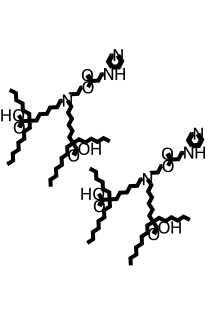 CCCCCCCCC(CCCCCC)(CCCCCCN(CCCCCCC(CCCCCC)(CCCCCCCC)C(=O)O)CCCOC(=O)CCNc1ccncc1)C(=O)O.CCCCCCCCC(CCCCCC)(CCCCCCN(CCCCCCC(CCCCCC)(CCCCCCCC)C(=O)O)CCCOC(=O)CCNc1ccncc1)C(=O)O